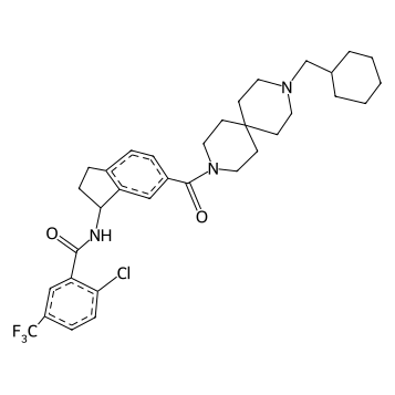 O=C(NC1CCc2ccc(C(=O)N3CCC4(CCN(CC5CCCCC5)CC4)CC3)cc21)c1cc(C(F)(F)F)ccc1Cl